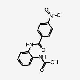 O=C(O)Nc1ccccc1NC(=O)c1ccc([N+](=O)[O-])cc1